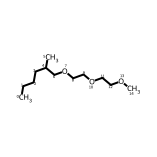 CCCCC(C)COCCOCCOC